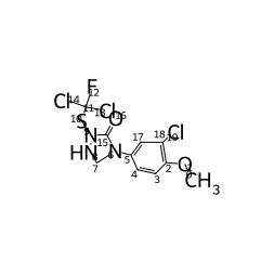 COc1ccc(N2CNN(SC(F)(Cl)Cl)C2=O)cc1Cl